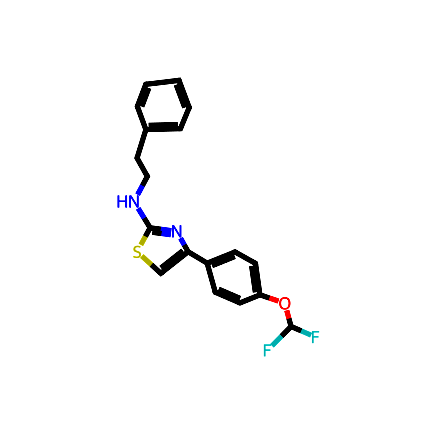 FC(F)Oc1ccc(-c2csc(NCCc3ccccc3)n2)cc1